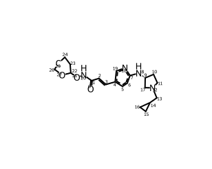 O=C(C=Cc1ccc(N[C@@H]2CCN(CC3CC3)C2)nc1)NOC1CCCCO1